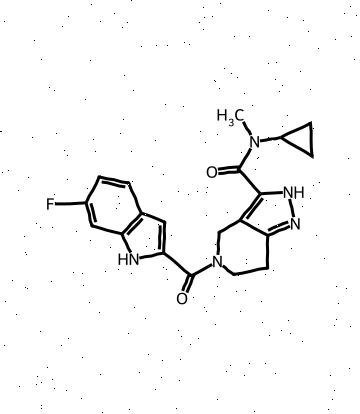 CN(C(=O)c1[nH]nc2c1CN(C(=O)c1cc3ccc(F)cc3[nH]1)CC2)C1CC1